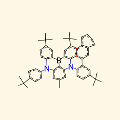 Cc1cc2c3c(c1)N(c1ccc(C(C)(C)C)cc1-c1ccc4ccccc4c1)c1ccc(C(C)(C)C)cc1B3c1cc(C(C)(C)C)ccc1N2c1ccc(C(C)(C)C)cc1